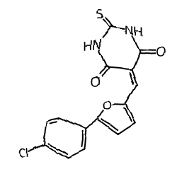 O=C1NC(=S)NC(=O)C1=Cc1ccc(-c2ccc(Cl)cc2)o1